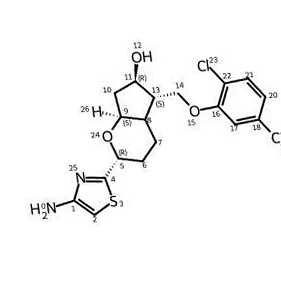 Nc1csc([C@H]2CCC3[C@H](C[C@@H](O)[C@@H]3COc3cc(C(F)(F)F)ccc3Cl)O2)n1